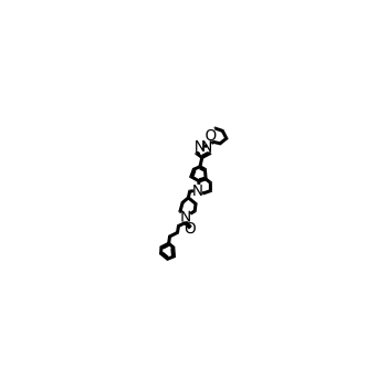 O=C(CCCc1ccccc1)N1CCC(CN2CCCc3cc(-c4cnn(C5CCCCO5)c4)ccc32)CC1